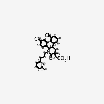 Cc1cccc(CCCN2C(=O)C(C)(CC(=O)O)CC(c3cccc(Cl)c3)C2c2ccc(Cl)cc2)n1